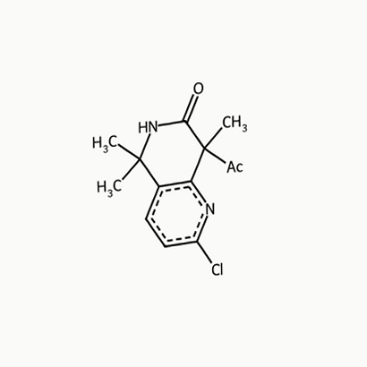 CC(=O)C1(C)C(=O)NC(C)(C)c2ccc(Cl)nc21